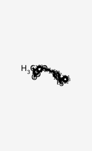 Cc1cc(=O)oc2cc(OCCCCN3CCN(c4nsc5ccccc45)CC3)ccc12